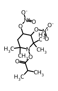 CC(C)C(=O)ON1C(C)(C)CC(O[N+](=O)[O-])C(O[N+](=O)[O-])C1(C)C